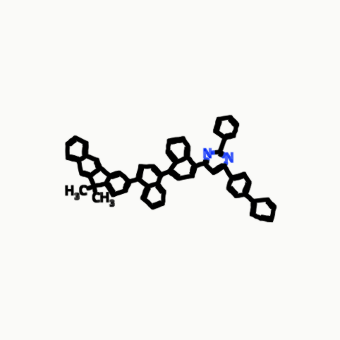 CC1(C)c2ccc(-c3ccc(-c4ccc(-c5cc(-c6ccc(-c7ccccc7)cc6)nc(-c6ccccc6)n5)c5ccccc45)c4ccccc34)cc2-c2cc3ccccc3cc21